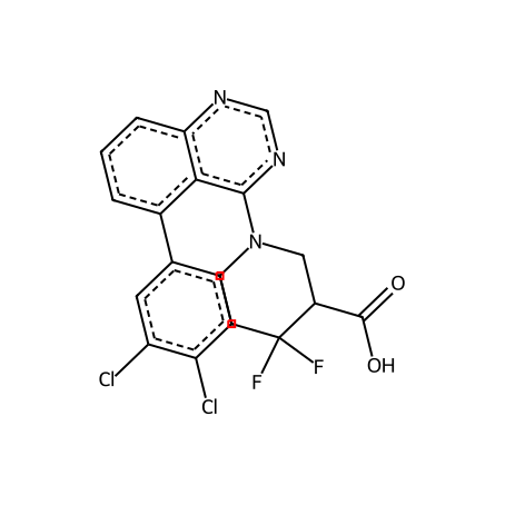 O=C(O)C1CN(c2ncnc3cccc(-c4ccc(Cl)c(Cl)c4)c23)CCC1(F)F